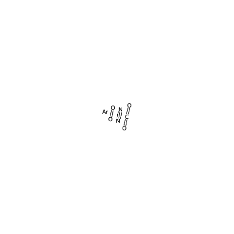 N#N.O=C=O.O=O.[Ar]